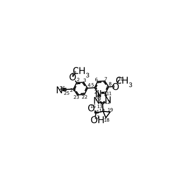 COc1cc(-c2ccc(OC)c3nc(C4(C(=O)O)CC4)nn23)ccc1C#N